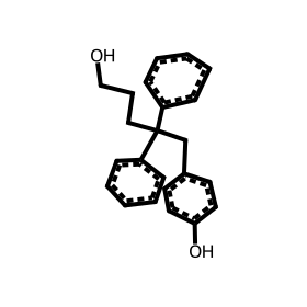 OCCCC(Cc1ccc(O)cc1)(c1ccccc1)c1ccccc1